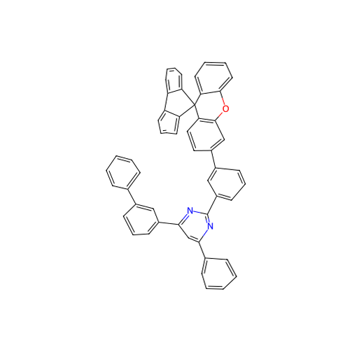 c1ccc(-c2cccc(-c3cc(-c4ccccc4)nc(-c4cccc(-c5ccc6c(c5)Oc5ccccc5C65c6ccccc6-c6ccccc65)c4)n3)c2)cc1